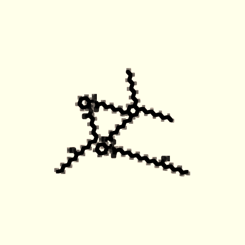 CCCCCCCCC1CC(CCCCCCC(=O)N[C@H]2CCCC[C@@H]2NC(=O)CCCCCCCCCCC(O)CCCCCC)C(CCCCCCC(=O)N[C@@H]2CCCC[C@H]2NC(=O)CCCCCCCCCCC(O)CCCCCC)CC1CCCCCCCC